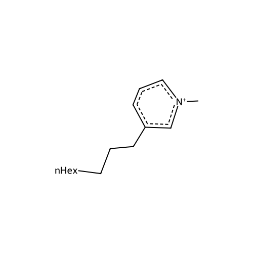 CCCCCCCCCc1ccc[n+](C)c1